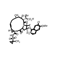 CCC(C)N(C(=O)O)[C@@H]1C(=O)N2[C@@H](C[C@@](C)(Oc3nccc4cc(OC)c(Cl)cc34)C2(F)F)C(=O)N[C@]2(C(=O)NS(=O)(=O)C3(C)CC3)C[C@H]2/C=C\CC[C@@H](C)C[C@H]1CC